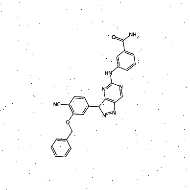 N#Cc1ccc(C2N=Nc3cnc(Nc4cccc(C(N)=O)c4)nc32)cc1OCc1ccccc1